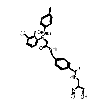 Cc1ccc(S(=O)(=O)N(CC(=O)NCc2ccc(C(=O)NCC(CO)N=O)cc2)c2cccc(Cl)c2C)cc1